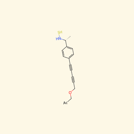 CC(=O)COCC#CC#Cc1ccc([C@@H](C)NS)cc1